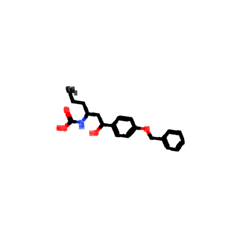 CCCC(CC(O)c1ccc(OCc2ccccc2)cc1)NC(=O)O